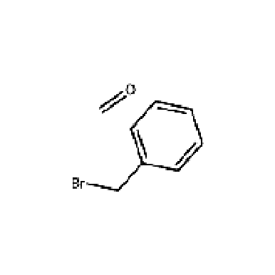 BrCc1ccccc1.C=O